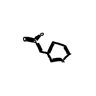 O=S(=O)=Cc1cc[c]nc1